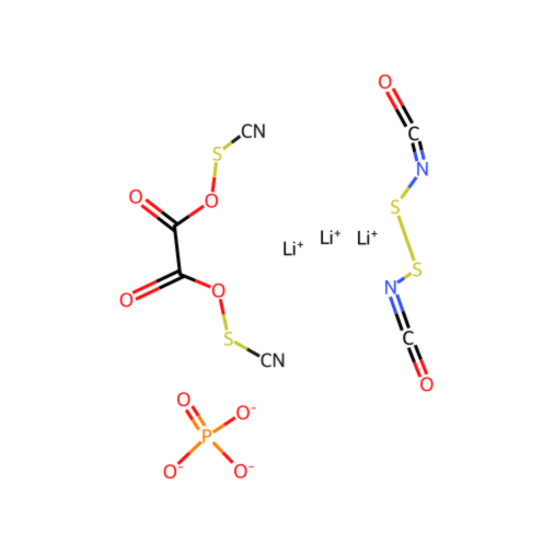 N#CSOC(=O)C(=O)OSC#N.O=C=NSSN=C=O.O=P([O-])([O-])[O-].[Li+].[Li+].[Li+]